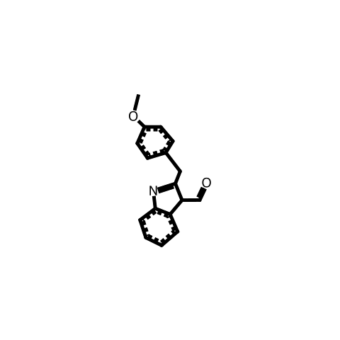 COc1ccc(CC2=Nc3ccccc3C2C=O)cc1